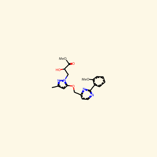 COC(=O)C(O)Cn1nc(C)cc1OCc1ccnc(-c2ccccc2OC)n1